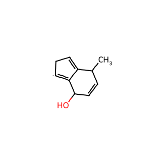 CC1C=CC(O)C2=[C]CC=C21